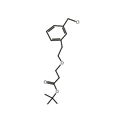 CC(C)(C)OC(=O)CCOCCc1cccc(CCl)c1